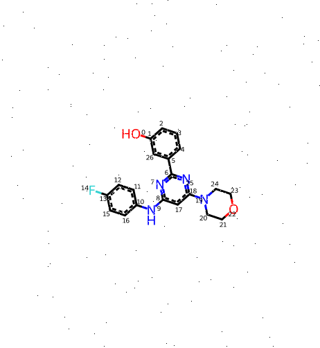 Oc1cccc(-c2nc(Nc3ccc(F)cc3)cc(N3CCOCC3)n2)c1